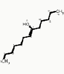 CCCCCCC=C(O)CCCCC